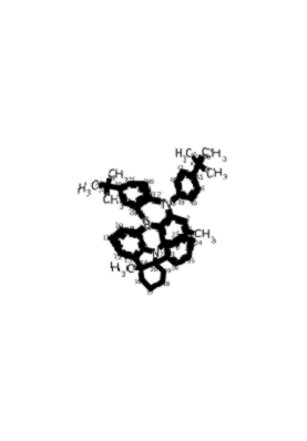 Cc1cc2c3c(c1)N1c4c(cccc4C4(C)CCCCC14c1ccccc1)B3c1cc(C(C)(C)C)ccc1N2c1ccc(C(C)(C)C)cc1